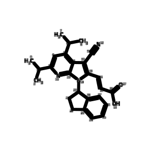 CC(C)c1cc(C(C)C)c2c(C#N)c(C=CC(=O)O)n(C3CCc4ccccc43)c2n1